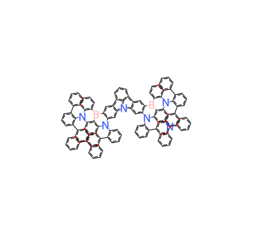 c1ccc(-c2ccccc2N2c3cc4c(cc3B3c5ccccc5N(c5c(-c6ccccc6)cccc5-c5ccccc5)c5cc(C(c6ccccc6)c6ccccc6)cc2c53)c2cccc3c5cc6c(cc5n4c23)N(c2ccccc2-c2ccccc2)c2cc(N(c3ccccc3)c3ccccc3)cc3c2B6c2ccccc2N3c2c(-c3ccccc3)cccc2-c2ccccc2)cc1